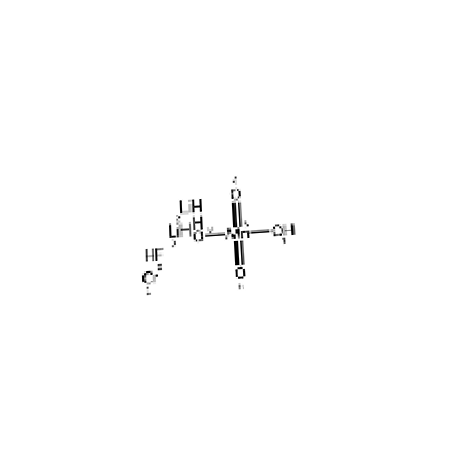 F.[Cr].[LiH].[LiH].[O]=[Mn](=[O])([OH])[OH]